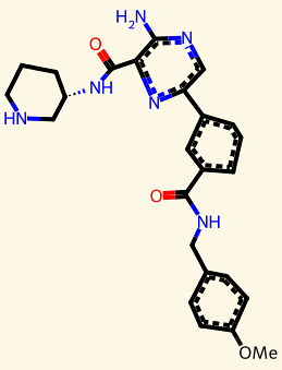 COc1ccc(CNC(=O)c2cccc(-c3cnc(N)c(C(=O)N[C@H]4CCCNC4)n3)c2)cc1